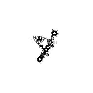 CC1(C)OB(CCCC2C3CN(S(=O)(=O)NC(=O)OCc4ccccc4)CC3CC2(N=[N+]=[N-])C(=O)OCc2ccccc2)OC1(C)C